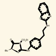 CCOC(=O)N1C(=O)[C@H]([C@@H](C)CC)N=C1Nc1ccc(CCNc2nc3ccccc3s2)cc1